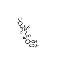 O=C(CCN1C(=O)/C(=C/c2ccc(Cl)cc2)SC1=S)Nc1ccc(C(=O)O)c(O)c1